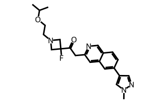 CC(C)OCCN1CC(F)(C(=O)Cc2cc3cc(-c4cnn(C)c4)ccc3cn2)C1